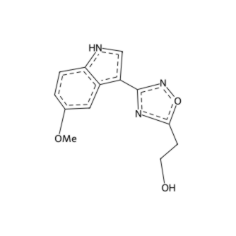 COc1ccc2[nH]cc(-c3noc(CCO)n3)c2c1